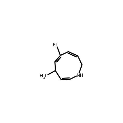 CCC1=C/C(C)/C=C\NC/C=C\1